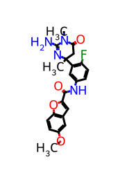 COc1ccc2oc(C(=O)Nc3ccc(F)c(C4(C)CC(=O)N(C)C(N)=N4)c3)cc2c1